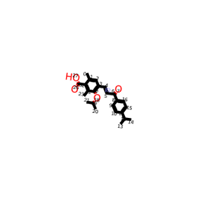 Cc1cc(/C=C/C(=O)c2ccc(C(C)C)cc2)c(OC(C)C)c(C)c1C(=O)O